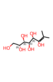 CC(C)=C(O)[C@H](O)[C@@H](O)[C@H](O)[C@H](O)CO